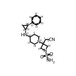 N#CCC1(N2CCC(N[C@H]3C[C@H]3c3ccccc3)CC2)CN(S(N)(=O)=O)C1